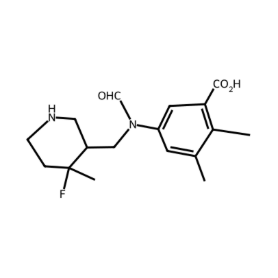 Cc1cc(N(C=O)CC2CNCCC2(C)F)cc(C(=O)O)c1C